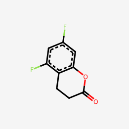 O=C1CCc2c(F)cc(F)cc2O1